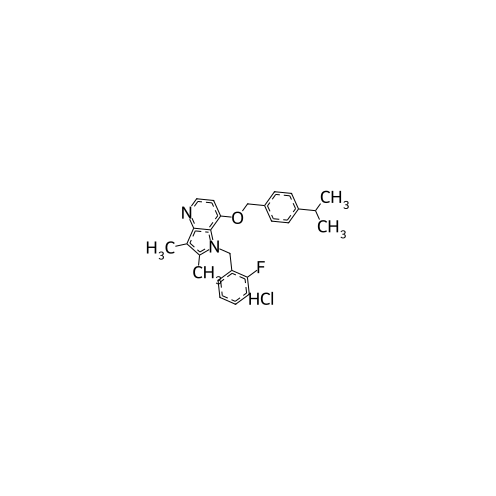 Cc1c(C)n(Cc2ccccc2F)c2c(OCc3ccc(C(C)C)cc3)ccnc12.Cl